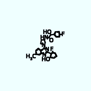 Cc1ccc2c(N3CC[C@@H](NC(=O)C(O)c4ccc(F)cc4)C3)nc(-c3c(O)cccc3F)nc2c1